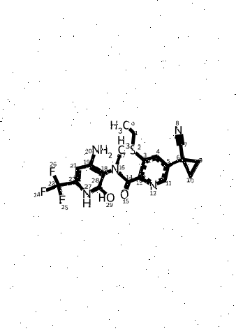 CCSc1cc(C2(C#N)CC2)cnc1C(=O)N(C)C1=C(N)C=C(C(F)(F)F)NC1O